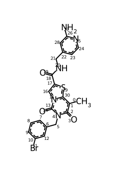 Cc1c(=O)n(Cc2cccc(Br)c2)c(=O)n2cc(C(=O)NCc3ccnc(N)c3)sc12